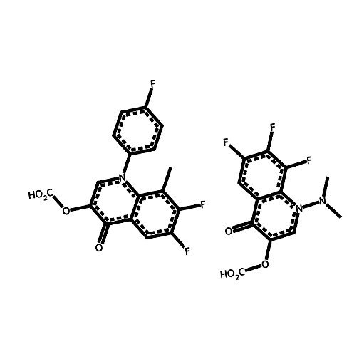 CN(C)n1cc(OC(=O)O)c(=O)c2cc(F)c(F)c(F)c21.Cc1c(F)c(F)cc2c(=O)c(OC(=O)O)cn(-c3ccc(F)cc3)c12